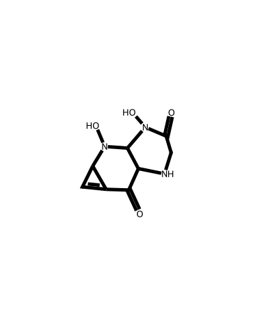 O=C1C2=CC2N(O)C2C1NCC(=O)N2O